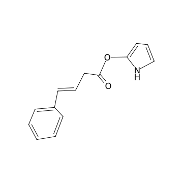 O=C(CC=Cc1ccccc1)Oc1ccc[nH]1